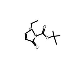 CC[C@@H]1C=CC(=O)N1C(=O)OC(C)(C)C